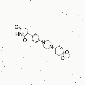 O=C1CCC(c2ccc(N3CCN(C4CCC5(CC4)OCCO5)CC3)cc2)C(=O)N1